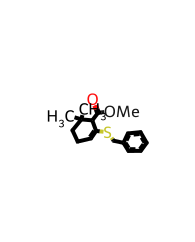 COC(=O)C1C(SCc2ccccc2)=CCCC1(C)C